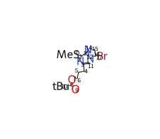 CSC1=NC(CCCOC(=O)C(C)(C)C)=CN2C1=NCC2Br